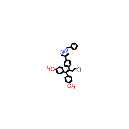 Oc1ccc(C(=C(CCCl)c2ccc(-c3cnn(Cc4ccccc4)c3)cc2)c2ccc(O)cc2)cc1